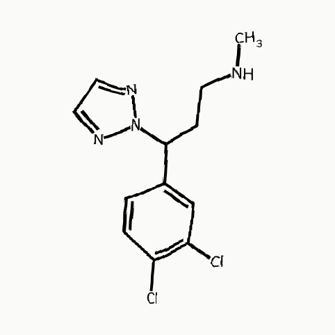 CNCCC(c1ccc(Cl)c(Cl)c1)n1nccn1